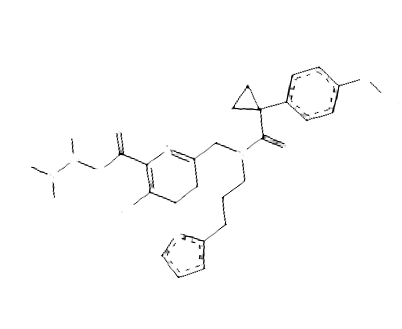 COc1ccc(C2(C(=O)N(CCCc3ccco3)CC3=NC(C(=O)S[S+]([O-])N(C)C)=C(C)CC3)CC2)cc1